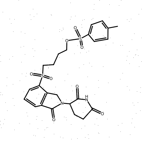 Cc1ccc(S(=O)(=O)OCCCCS(=O)(=O)c2cccc3c2CN(C2CCC(=O)NC2=O)C3=O)cc1